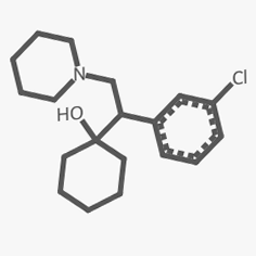 OC1(C(CN2CCCCC2)c2cccc(Cl)c2)CCCCC1